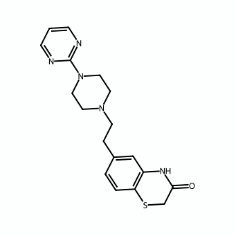 O=C1CSc2ccc(CCN3CCN(c4ncccn4)CC3)cc2N1